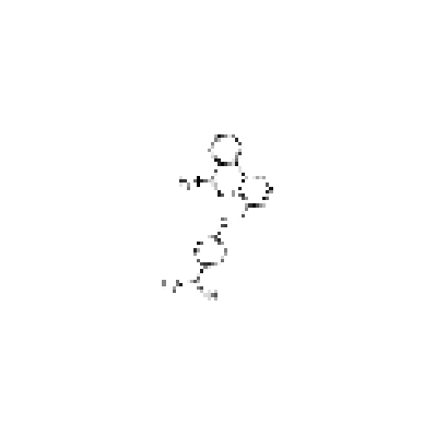 N=C(N)c1ccc(OCc2cccc(-c3ccccc3C(=N)N)c2)cc1